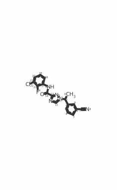 CC(c1cccc(C#N)c1)n1cnc(C(=O)Nc2cccc(Cl)c2F)n1